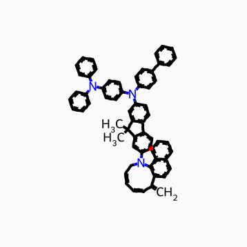 C=C1/C=C\C=C/CN(c2ccc3c(c2)C(C)(C)c2cc(N(c4ccc(-c5ccccc5)cc4)c4ccc(N(c5ccccc5)c5ccccc5)cc4)ccc2-3)c2c1ccc1ccccc21